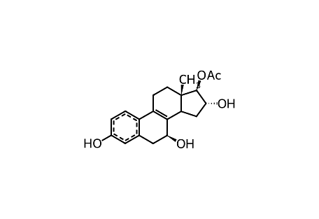 CC(=O)O[C@H]1[C@H](O)CC2C3=C(CC[C@@]21C)c1ccc(O)cc1C[C@@H]3O